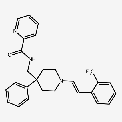 O=C(NCC1(c2ccccc2)CCN(C=Cc2ccccc2C(F)(F)F)CC1)c1ccccn1